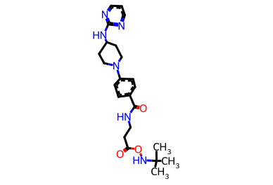 CC(C)(C)NOC(=O)CCNC(=O)c1ccc(N2CCC(Nc3ncccn3)CC2)cc1